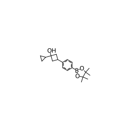 CC1(C)OB(c2ccc(C3CC(O)(C4CC4)C3)cc2)OC1(C)C